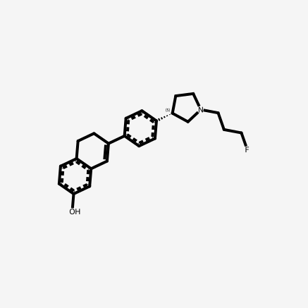 Oc1ccc2c(c1)C=C(c1ccc([C@@H]3CCN(CCCF)C3)cc1)CC2